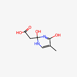 CC1=CNC(O)(CC(=O)O)N=C1O